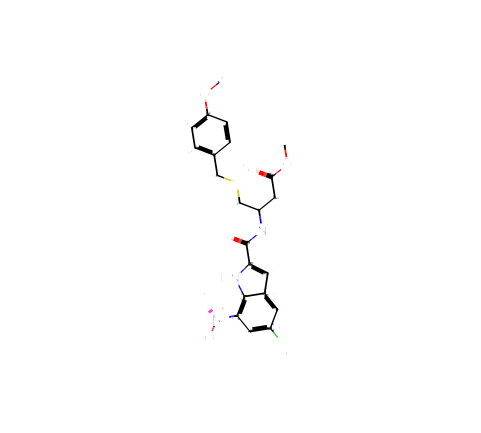 COC(=O)CC(CSCc1ccc(OC)cc1)NC(=O)c1cc2cc(Cl)cc([N+](=O)[O-])c2[nH]1